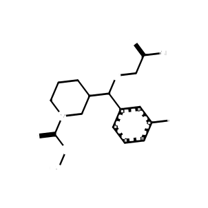 CC(C)(C)OC(=O)N1CCCC(C(OCC(N)=O)c2cccc(Cl)c2)C1